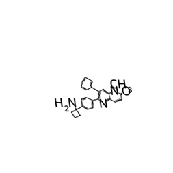 Cn1c(=O)ccc2nc(-c3ccc(C4(N)CCC4)cc3)c(-c3ccccc3)cc21